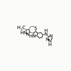 Cc1[nH]nc2c1CCSc1c-2[nH]c2ccc(Nc3nc[nH]n3)cc12